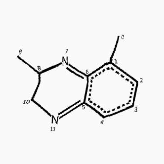 Cc1cccc2c1=NC(C)CN=2